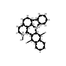 Cc1c2ccccc2c(C)c2c1c1c3c(ccc4c5ccccc5n2c43)cc[n+]1C